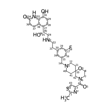 Cc1nc(C(=O)N2CCOC3(CCN(Cc4cc(F)cc(CCNC[C@H](O)c5ccc(O)c6[nH]c(=O)ccc56)c4)CC3)C2)cs1